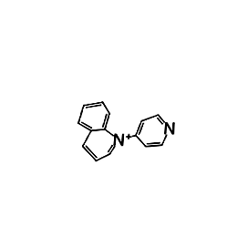 c1ccc2c(c1)ccc[n+]2-c1ccncc1